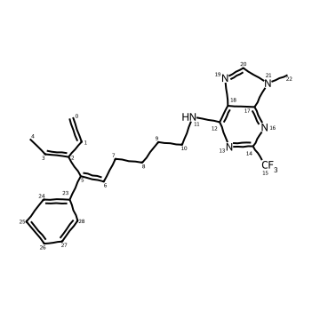 C=CC(=C\C)/C(=C\CCCCNc1nc(C(F)(F)F)nc2c1ncn2C)c1ccccc1